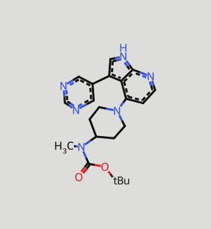 CN(C(=O)OC(C)(C)C)C1CCN(c2ccnc3[nH]cc(-c4cncnc4)c23)CC1